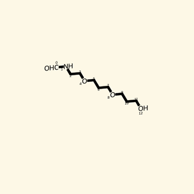 O=CNCCOCCCOCCCO